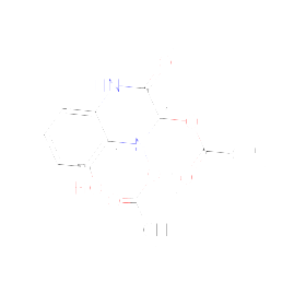 CC(=O)OC1C(=O)Nc2cccc(O)c2N1OC(C)=O